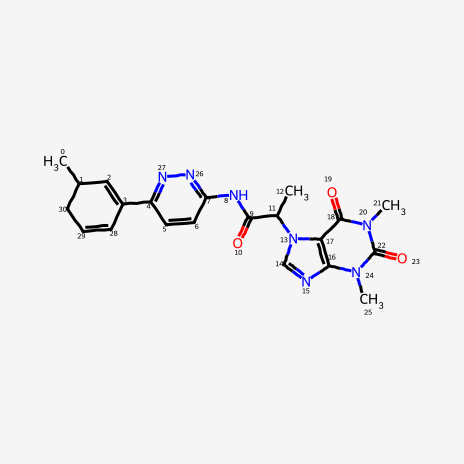 CC1C=C(c2ccc(NC(=O)C(C)n3cnc4c3c(=O)n(C)c(=O)n4C)nn2)C=CC1